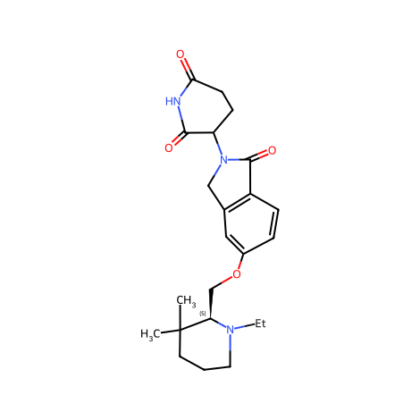 CCN1CCCC(C)(C)[C@H]1COc1ccc2c(c1)CN(C1CCC(=O)NC1=O)C2=O